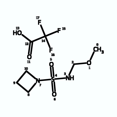 COCNS(=O)(=O)N1CCC1.O=C(O)C(F)(F)F